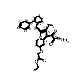 CCOC(=O)COc1ccn2c(Cc3ccccc3-c3ccccc3)c(CC)c(C(=O)C(N)=O)c2c1